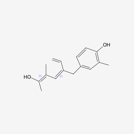 C=C/C(=C\C(C)=C(/C)O)Cc1ccc(O)c(C)c1